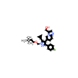 C[Si](C)(C)CCOCn1nc(-c2ccc(F)cc2)c(-c2ccc3ncc(CO)n3c2)c1C1CC1